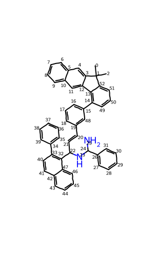 CC1(C)c2cc3ccccc3cc2-c2c(-c3cccc(/C=C/C(NC(N)c4ccccc4)c4c(-c5ccccc5)ccc5ccccc45)c3)cccc21